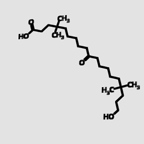 CC(C)(CCCO)CCCCCC(=O)CCCCCC(C)(C)CCC(=O)O